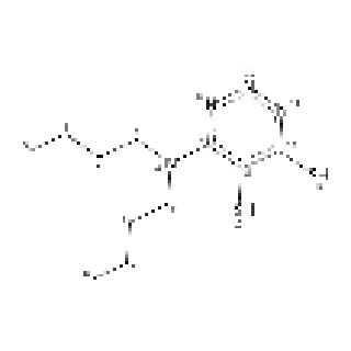 CCCCN(CCCC)c1nnnc(S)c1S